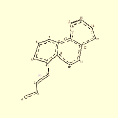 O=[C]/C=C/c1cccc2c1ccc1ccccc12